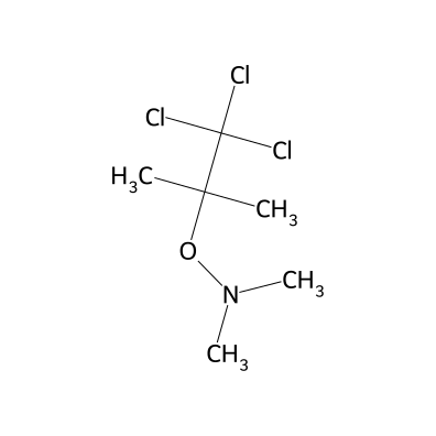 CN(C)OC(C)(C)C(Cl)(Cl)Cl